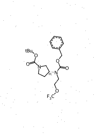 CC(C)(C)OC(=O)N1CC[C@@H](N(CCOC(F)(F)F)C(=O)OCc2ccccc2)C1